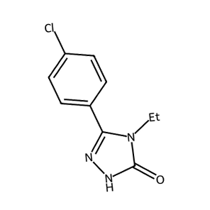 CCn1c(-c2ccc(Cl)cc2)n[nH]c1=O